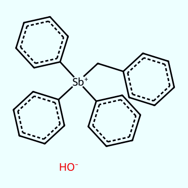 [OH-].c1ccc([CH2][Sb+]([c]2ccccc2)([c]2ccccc2)[c]2ccccc2)cc1